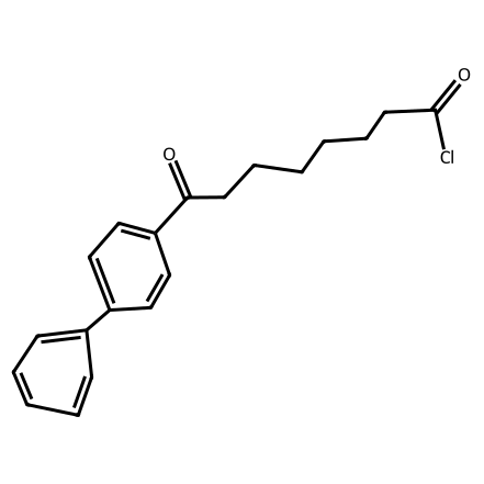 O=C(Cl)CCCCCCC(=O)c1ccc(-c2ccccc2)cc1